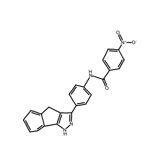 O=C(Nc1ccc(-c2n[nH]c3c2Cc2ccccc2-3)cc1)c1ccc([N+](=O)[O-])cc1